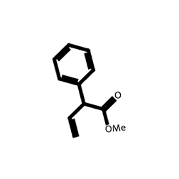 C=CC(C(=O)OC)c1ccccc1